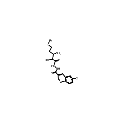 CC(C)SCC[C@@H](N)C(O)C(=O)NNC(=O)C1=Cc2cc(Cl)ccc2OC1